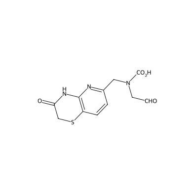 O=CCN(Cc1ccc2c(n1)NC(=O)CS2)C(=O)O